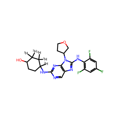 [2H]C1(Nc2ncc3nc(Nc4c(F)cc(F)cc4F)n(C4CCOC4)c3n2)CCC(O)C([2H])([2H])C1([2H])[2H]